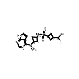 CN(c1ncnc2[nH]ccc12)C1CC(NS(=O)(=O)C2CC(C(F)F)C2)C1